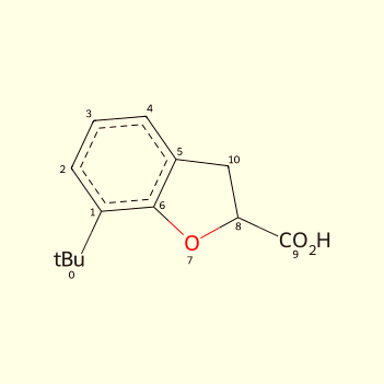 CC(C)(C)c1cccc2c1OC(C(=O)O)C2